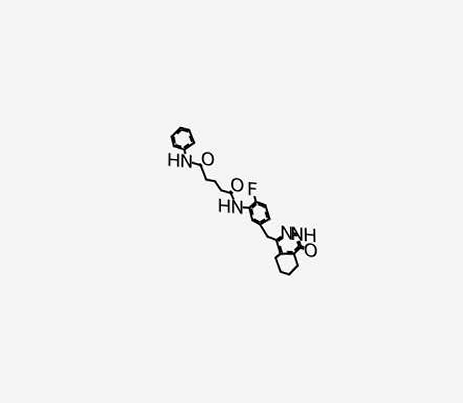 O=C(CCCC(=O)Nc1cc(Cc2n[nH]c(=O)c3c2CCCC3)ccc1F)Nc1ccccc1